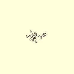 O=C(NC1CC1)c1c(O)n2ncc(C=CC(=O)N3CC4CCC(C3)O4)c2n(CC2(F)CC2)c1=O